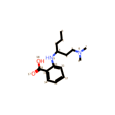 CCCC(CCN(C)C)Nc1ccccc1C(=O)O